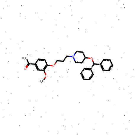 COc1cc(C(C)=O)ccc1OCCCN1CCC(OC(c2ccccc2)c2ccccc2)CC1